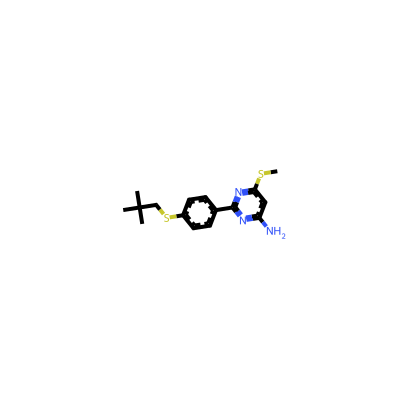 CSc1cc(N)nc(-c2ccc(SCC(C)(C)C)cc2)n1